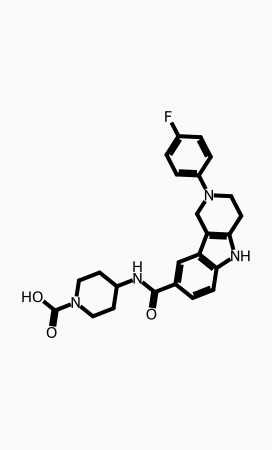 O=C(NC1CCN(C(=O)O)CC1)c1ccc2[nH]c3c(c2c1)CN(c1ccc(F)cc1)CC3